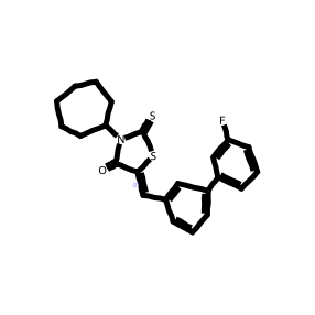 O=C1/C(=C/c2cccc(-c3cccc(F)c3)c2)SC(=S)N1C1CCCCCC1